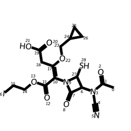 CC(=O)N(C#N)C1C(=O)N(C(C(=O)OCCI)=C(CC(=O)O)OCC2CC2)C1S